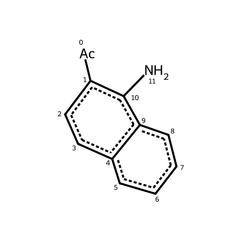 CC(=O)c1ccc2ccccc2c1N